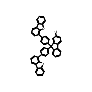 Clc1ccc2c(c1)C(c1ccc(-c3cccc4c3oc3ccccc34)cc1)(c1ccc(-c3cccc4c3oc3ccccc34)cc1)c1ccccc1-2